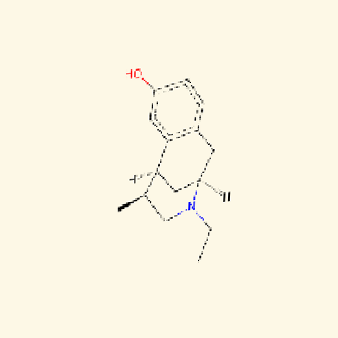 CCN1C[C@@H](C)[C@@H]2C[C@H]1Cc1ccc(O)cc12